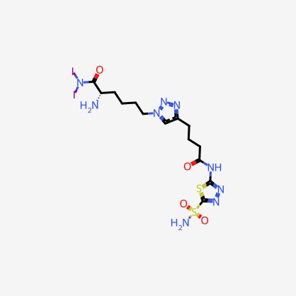 N[C@@H](CCCCn1cc(CCCC(=O)Nc2nnc(S(N)(=O)=O)s2)nn1)C(=O)N(I)I